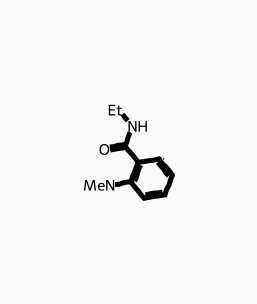 CCNC(=O)c1[c]cccc1NC